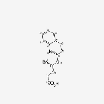 O=C(O)CS[C@@H](Br)Oc1ccc2ccccc2n1